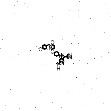 CNc1cc2c(cn1)c(-c1cnn(C)c1)nn2[C@H]1CC[C@@H](Oc2ccc(=O)n(Cc3ccc(OC)cc3)n2)CC1